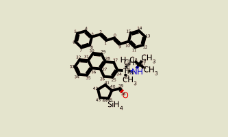 C(C=Cc1ccccc1)=Cc1ccccc1.CC(C)(C)[NH][Ti]([CH3])([CH3])[C]1=CCc2c(ccc3ccccc23)C1.O=CC1CCCC1.[SiH4]